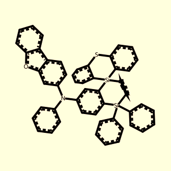 c1ccc(N(c2ccc3c(c2)[Si]2(c4ccccc4Sc4ccccc42)c2ccccc2[Si]3(c2ccccc2)c2ccccc2)c2ccc3c(c2)oc2ccccc23)cc1